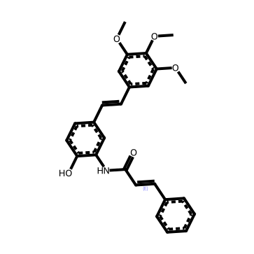 COc1cc(C=Cc2ccc(O)c(NC(=O)/C=C/c3ccccc3)c2)cc(OC)c1OC